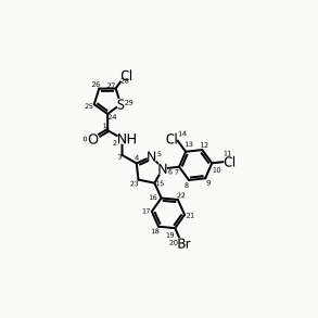 O=C(NCC1=NN(c2ccc(Cl)cc2Cl)C(c2ccc(Br)cc2)C1)c1ccc(Cl)s1